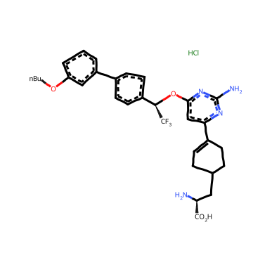 CCCCOc1cccc(-c2ccc([C@@H](Oc3cc(C4=CCC(C[C@H](N)C(=O)O)CC4)nc(N)n3)C(F)(F)F)cc2)c1.Cl